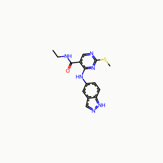 CCNC(=O)c1cnc(SC)nc1Nc1ccc2[nH]ncc2c1